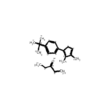 CC1=CCC(c2ccc(C(C)(C)C)cc2)=C1C.CCC(=O)CC